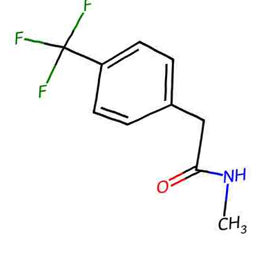 CNC(=O)Cc1ccc(C(F)(F)F)cc1